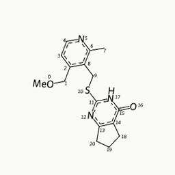 COCc1ccnc(C)c1CSc1nc2c(c(=O)[nH]1)CCC2